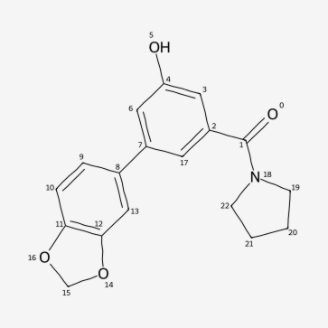 O=C(c1cc(O)cc(-c2ccc3c(c2)OCO3)c1)N1CCCC1